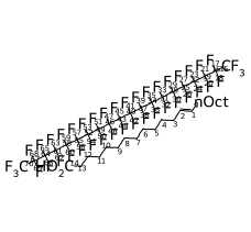 CCCCCCCCC=CCCCCCCCCCCCC(=O)O.FC(F)(F)C(F)(F)C(F)(F)C(F)(F)C(F)(F)C(F)(F)C(F)(F)C(F)(F)C(F)(F)C(F)(F)C(F)(F)C(F)(F)C(F)(F)C(F)(F)C(F)(F)C(F)(F)C(F)(F)C(F)(F)C(F)(F)C(F)(F)F